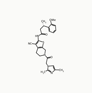 COc1ccccc1[C@@H](C)CC(=O)Nc1sc2c(c1C#N)CCN(C(=O)Cn1cc(C)nc1C)C2